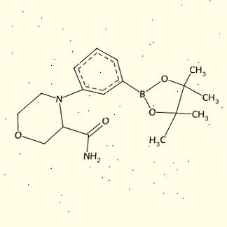 CC1(C)OB(c2cccc(N3CCOCC3C(N)=O)c2)OC1(C)C